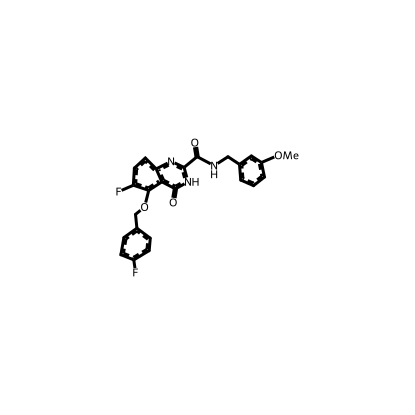 COc1cccc(CNC(=O)c2nc3ccc(F)c(OCc4ccc(F)cc4)c3c(=O)[nH]2)c1